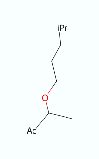 CC(=O)C(C)OCCCC(C)C